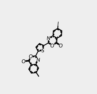 Cc1ccc2c(=O)oc(-c3ccc(-c4nc5cc(I)ccc5c(=O)o4)s3)nc2c1